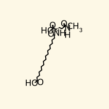 CNC(=O)CC[C@H](NC(=O)CCCCCCCCCCCCCCCCC(=O)O)C(=O)O